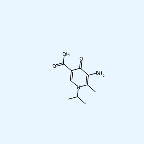 Bc1c(C)n(C(C)C)cc(C(=O)O)c1=O